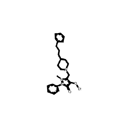 CCOc1c(CN2CCC(CCCc3ccccc3)CC2)n(C)n(-c2ccccc2)c1=O